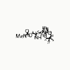 CNC(=O)OCC(=N)SSN(C(C)C)P1(=S)OCC(C)(C)CO1